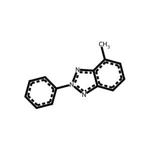 Cc1cccc2nn(-c3ccccc3)nc12